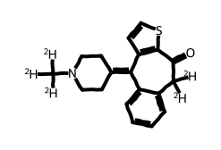 [2H]C1([2H])C(=O)c2sccc2C(=C2CCN(C([2H])([2H])[2H])CC2)c2ccccc21